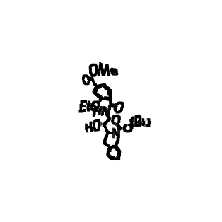 CCOc1cc(C(=O)OC)ccc1C(=O)NC[C@@H](O)C1Cc2ccccc2CN1C(=O)OC(C)(C)C